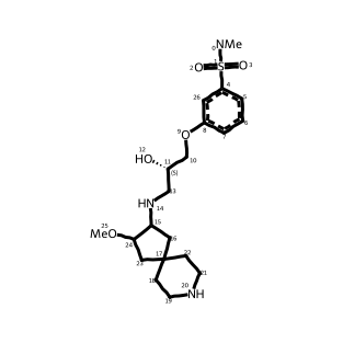 CNS(=O)(=O)c1cccc(OC[C@@H](O)CNC2CC3(CCNCC3)CC2OC)c1